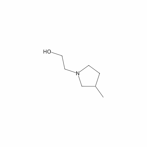 CC1CCN(CCO)C1